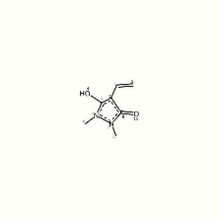 C=Cc1c(O)n(C)n(C)c1=O